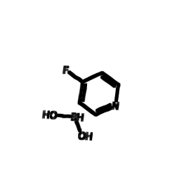 Fc1ccncc1.OBO